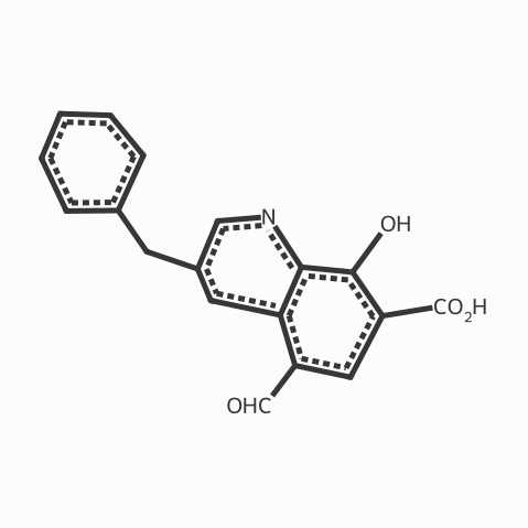 O=Cc1cc(C(=O)O)c(O)c2ncc(Cc3ccccc3)cc12